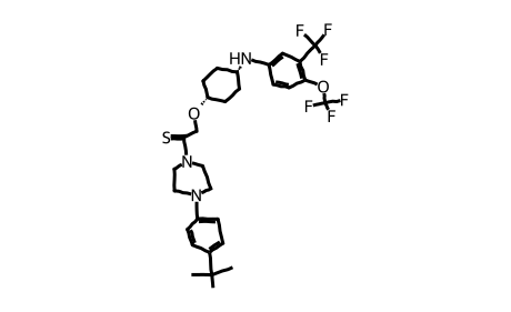 CC(C)(C)c1ccc(N2CCN(C(=S)CO[C@H]3CC[C@@H](Nc4ccc(OC(F)(F)F)c(C(F)(F)F)c4)CC3)CC2)cc1